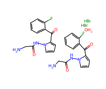 Br.Br.NCC(=O)Nn1cccc1C(=O)c1ccccc1F.NCC(=O)Nn1cccc1C(=O)c1ccccc1F.O